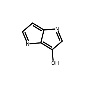 OC1=C2N=CC=C2N=C1